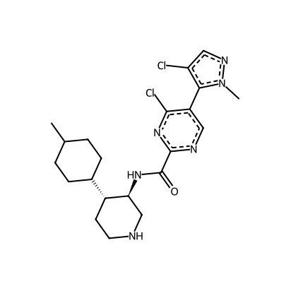 CC1CCC([C@H]2CCNC[C@@H]2NC(=O)c2ncc(-c3c(Cl)cnn3C)c(Cl)n2)CC1